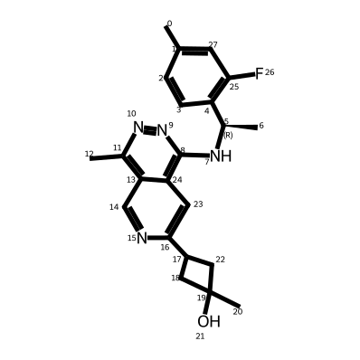 Cc1ccc([C@@H](C)Nc2nnc(C)c3cnc(C4CC(C)(O)C4)cc23)c(F)c1